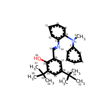 CN(c1ccccc1)c1ccccc1/N=C/c1cc(C(C)(C)C)cc(C(C)(C)C)c1O